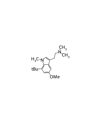 COc1cc(C(C)(C)C)c2c(c1)c(CCN(C)C)cn2C